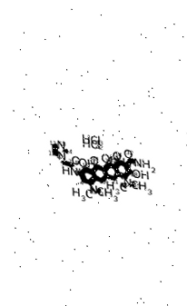 CN(C)c1cc(NC(=O)Cn2ccnc2)c(O)c2c1CC1CC3[C@H](N(C)C)C(O)=C(C(N)=O)C(=O)[C@@]3(O)C(O)=C1C2=O.Cl.Cl